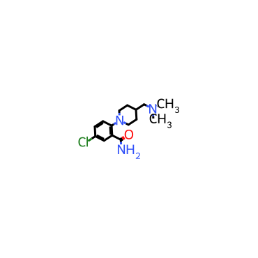 CN(C)CC1CCN(c2ccc(Cl)cc2C(N)=O)CC1